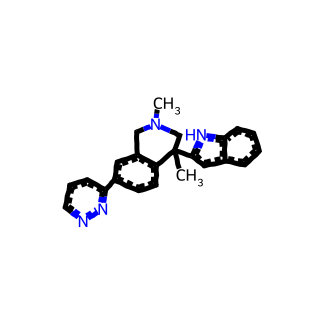 CN1Cc2cc(-c3cccnn3)ccc2C(C)(c2cc3ccccc3[nH]2)C1